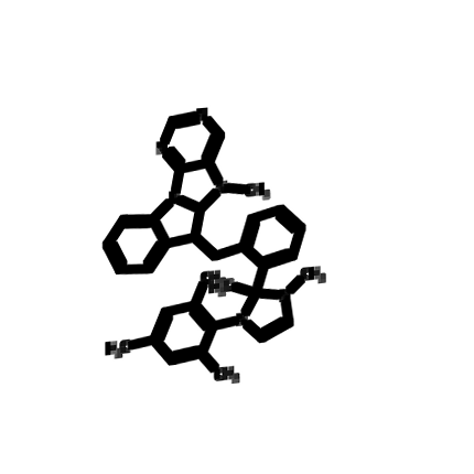 Cc1cc(C)c(N2C=CN(C)C2(C)c2ccccc2CC2c3ccccc3N3c4ncncc4N(C)C23)c(C)c1